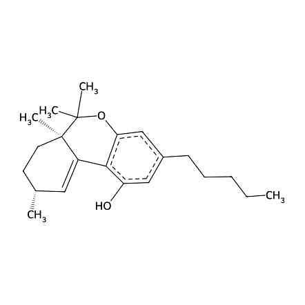 CCCCCc1cc(O)c2c(c1)OC(C)(C)[C@]1(C)CC[C@@H](C)C=C21